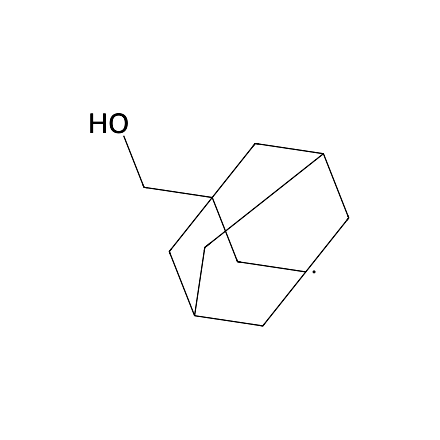 OCC12C[C]3CC(CC(C3)C1)C2